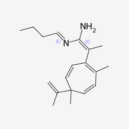 C=C(C)C1(C)C=CC(C)=C(/C(C)=C(N)\N=C\CCC)C=C1